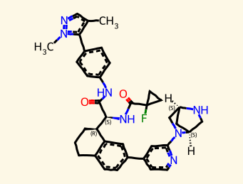 Cc1cnn(C)c1-c1ccc(NC(=O)[C@@H](NC(=O)C2(F)CC2)[C@@H]2CCCc3ccc(-c4ccnc(N5C[C@@H]6C[C@H]5CN6)c4)cc32)cc1